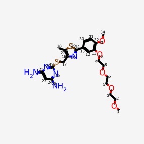 COCCOCCOCCOc1cc(-c2nc(CSc3nc(N)cc(N)n3)c(C)s2)ccc1OC